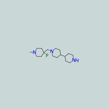 CN1CCC(F)(CN2CCC(C3CCNCC3)CC2)CC1